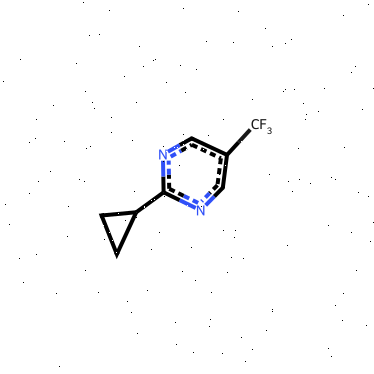 FC(F)(F)c1cnc(C2CC2)nc1